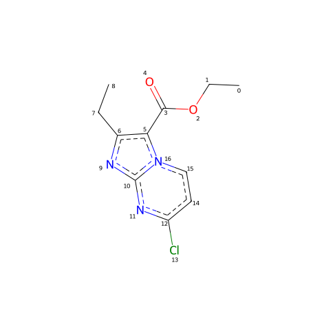 CCOC(=O)c1c(CC)nc2nc(Cl)ccn12